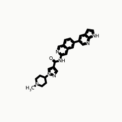 CN1CCC(n2cc(C(=O)Nc3cc4cc(-c5cnc6[nH]ccc6c5)ccc4cn3)cn2)CC1